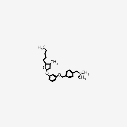 CCCCCC1OC(Oc2cccc(OCc3ccc(CN(C)C)cc3)c2)C[C@H]1C